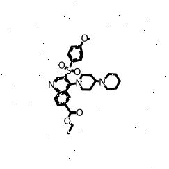 CCOC(=O)c1ccc2ncc(S(=O)(=O)c3ccc(OC)cc3)c(N3CCC(N4CCCCC4)CC3)c2c1